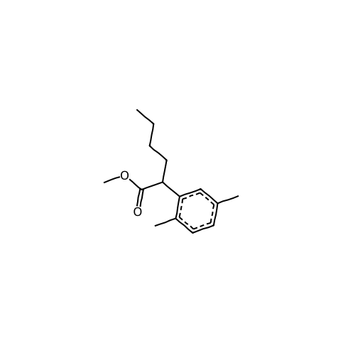 CCCCC(C(=O)OC)c1cc(C)ccc1C